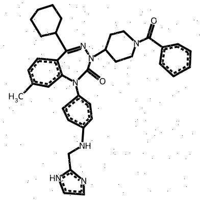 Cc1ccc2c(c1)N(c1ccc(NCc3ncc[nH]3)cc1)C(=O)N(C1CCN(C(=O)c3ccccc3)CC1)N=C2C1CCCCC1